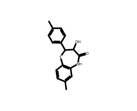 Cc1ccc(C2Sc3ccc(C)cc3NC(=O)C2O)cc1